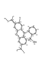 CC/[N+](C)=c1\cc2oc3cc(N(C)C)ccc3c(-c3ccccc3C(=O)O)c-2cc1C